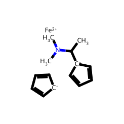 CC([c-]1cccc1)N(C)C.[Fe+2].c1cc[cH-]c1